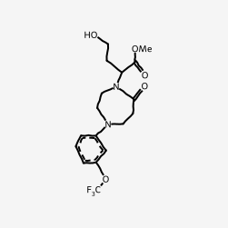 COC(=O)C(CCO)N1CCN(c2cccc(OC(F)(F)F)c2)CCC1=O